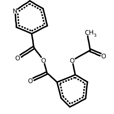 CC(=O)Oc1ccccc1C(=O)OC(=O)c1cccnc1